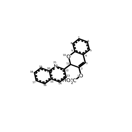 O=C(O)OC1=Cc2ccccc2OC1c1ccc2ccccc2n1